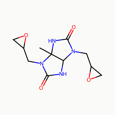 CC12NC(=O)N(CC3CO3)C1NC(=O)N2CC1CO1